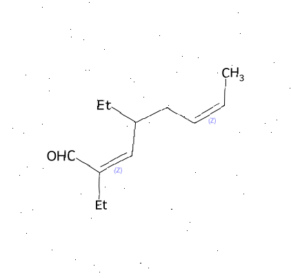 C/C=C\CC(/C=C(\C=O)CC)CC